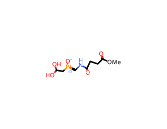 COC(=O)CCC(=O)N/C=[P+](\[O-])CC(O)O